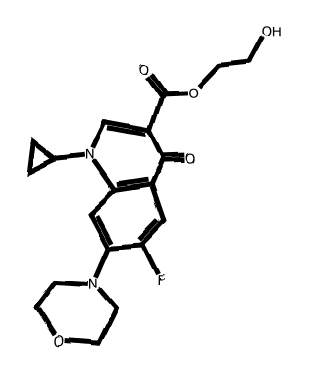 O=C(OCCO)c1cn(C2CC2)c2cc(N3CCOCC3)c(F)cc2c1=O